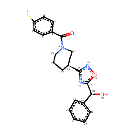 O=C(c1ccc(F)cc1)N1CCC[C@H](c2noc([C@@H](O)c3ccccc3)n2)C1